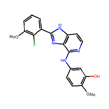 COc1ccc(Nc2nccc3[nH]c(-c4cccc(OC)c4F)nc23)cc1O